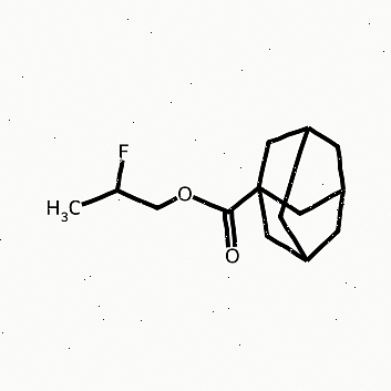 CC(F)COC(=O)C12CC3CC(CC(C3)C1)C2